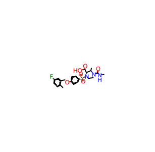 CNC(=O)N1CCN(S(=O)(=O)c2ccc(OCc3cc(F)ccc3C)cc2)C(C(=O)O)C1C